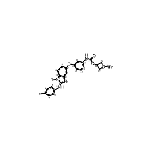 Cc1ccc(Nc2nc3cc(Oc4ccnc(NC(=O)OC5CN(C(C)C)C5)c4)ccc3n2C)cc1